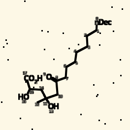 CCCCCCCCCCCCCCCCCC(=O)CC(C)(O)CC(O)C(=O)O